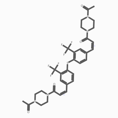 CC(=O)N1CCN(C(=O)/C=C\c2ccc(Sc3ccc(/C=C\C(=O)N4CCN(C(C)=O)CC4)cc3C(F)(F)F)c(C(F)(F)F)c2)CC1